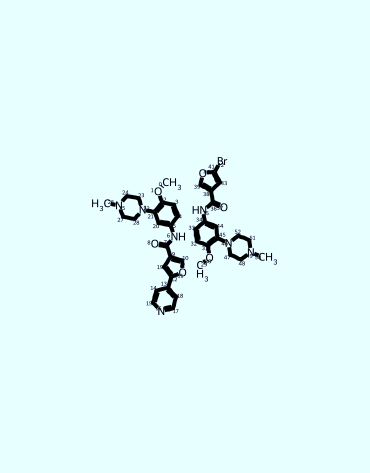 COc1ccc(NC(=O)c2coc(-c3ccncc3)c2)cc1N1CCN(C)CC1.COc1ccc(NC(=O)c2coc(Br)c2)cc1N1CCN(C)CC1